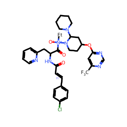 CC[N+]([O-])(C(=O)C(Cc1ccccn1)NC(=O)/C=C/c1ccc(Cl)cc1)N1CCC(Oc2cc(C(F)(F)F)ncn2)CC1N1CCCCC1